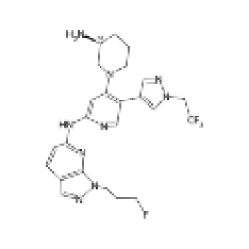 N[C@H]1CCCN(c2cc(Nc3ccc4cnn(CCCF)c4n3)ncc2-c2cnn(CC(F)(F)F)c2)C1